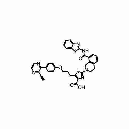 C#Cc1nccnc1-c1ccc(OCCCc2sc(N3CCc4cccc(C(=O)Nc5nc6ccccc6s5)c4C3)nc2C(=O)O)cc1